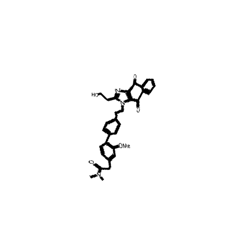 COc1cc(CC(=O)N(C)C)ccc1-c1ccc(CCn2c(CCO)nc3c2C(=O)c2ccccc2C3=O)cc1